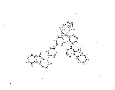 c1cc(-c2cccc3c2oc2ccccc23)c2c(c1)C1(c3ccc(-c4ccc(-c5cccc6c5sc5ccccc56)cc4)cc3-2)C2CC3CC(C2)CC1C3